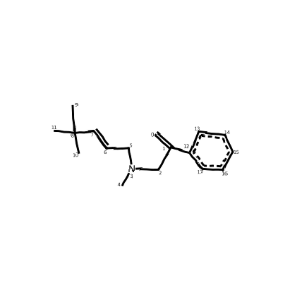 C=C(CN(C)C/C=C/C(C)(C)C)c1ccccc1